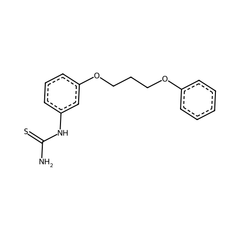 NC(=S)Nc1cccc(OCCCOc2ccccc2)c1